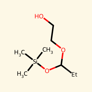 [CH2]CC(OCCO)O[Si](C)(C)C